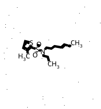 CCC=CCCCN(CCC)S(=O)(=O)c1sccc1C